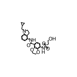 O=C(Nc1cccc2c1CCN2CC1CC1)c1ccc(NS(=O)(=O)CCO)c2c1OCCO2